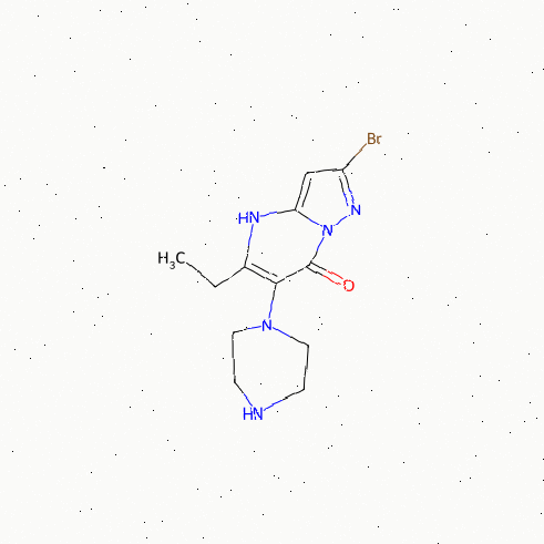 CCc1[nH]c2cc(Br)nn2c(=O)c1N1CCNCC1